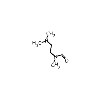 CN(C)CCN(C)[C]=O